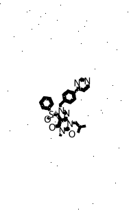 CC(C)Cn1c(=O)n(C)c(=O)c2c([S+]([O-])c3ccccc3)n(Cc3ccc(-c4ccncn4)cc3)nc21